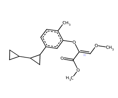 CO/C=C(\Oc1cc(C2CC2C2CC2)ccc1C)C(=O)OC